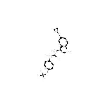 O=C(Nc1ccc(SC(F)(F)F)cc1)Nc1c[nH]c2ccc(C3CC3)cc12